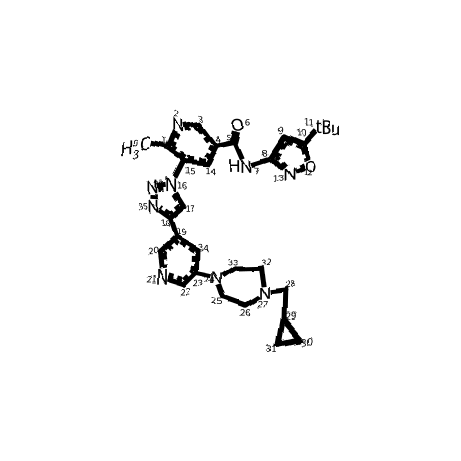 Cc1ncc(C(=O)Nc2cc(C(C)(C)C)on2)cc1-n1cc(-c2cncc(N3CCN(CC4CC4)CC3)c2)nn1